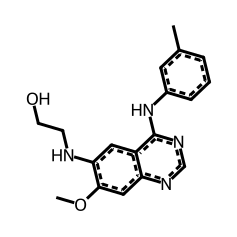 COc1cc2ncnc(Nc3cccc(C)c3)c2cc1NCCO